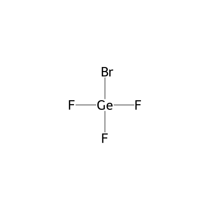 [F][Ge]([F])([F])[Br]